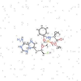 CC(C)OC(=O)[C@H](C)N[P@@](=O)(CO[C@@H](CF)Cc1cnc2c(N)ncnn12)Oc1ccccc1